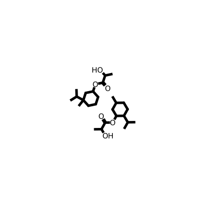 CC(O)C(=O)OC1CCCC(C)(C(C)C)C1.CC1CCC(C(C)C)C(OC(=O)C(C)O)C1